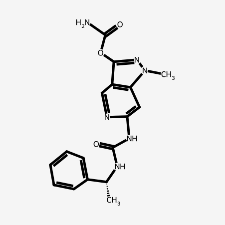 C[C@@H](NC(=O)Nc1cc2c(cn1)c(OC(N)=O)nn2C)c1ccccc1